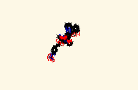 O=C(C=Cc1ccc([N+](=O)[O-])cc1)OCCN1C(=O)C2C3C=C(C(O)(c4ccccc4)c4ccccn4)C(C3=C(c3ccccc3)c3ccccn3)C2C1=O